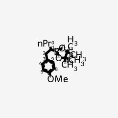 CCCC(Cc1ccc(OC)cc1)B1OC(C)(C)C(C)(C)O1